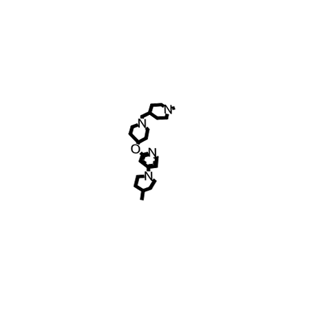 CC1CCN(c2ccnc(OC3CCN(CC4CCN(C)CC4)CC3)c2)CC1